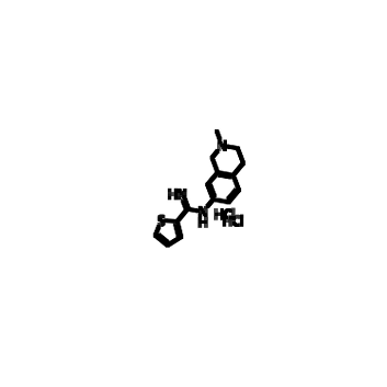 CN1CCc2ccc(NC(=N)c3cccs3)cc2C1.Cl.Cl